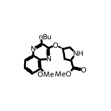 CCCCc1nc2cccc(OC)c2nc1O[C@H]1CNC(C(=O)OC)C1